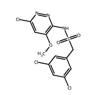 COc1cc(Cl)nnc1NS(=O)(=O)Cc1cc(Cl)cc(Cl)c1